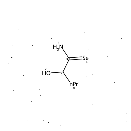 CCCC(O)C(N)=[Se]